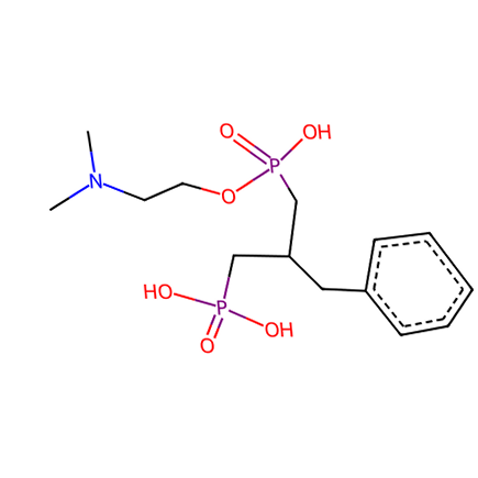 CN(C)CCOP(=O)(O)CC(Cc1ccccc1)CP(=O)(O)O